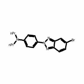 CCCN(CCC)c1ccc(-n2nc3ccc(Br)cc3n2)cc1